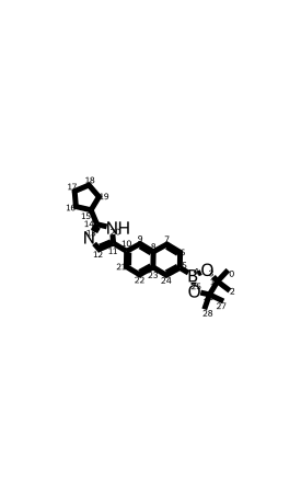 CC1(C)OB(c2ccc3cc(-c4cnc(C5CCCC5)[nH]4)ccc3c2)OC1(C)C